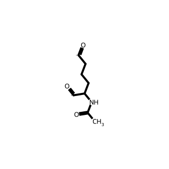 CC(=O)NC([C]=O)CCC[C]=O